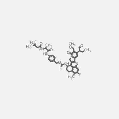 CCC(C=O)c1cc2n(c(=O)c1COC)Cc1c-2nc2cc(F)c(C)c3c2c1C(NC(=O)OCc1ccc(NC(=O)C(C)NC(=O)CC(C)C)cc1)CC3